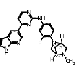 CN1C[C@@H]2C[C@H]1CN2c1ccc(Nc2nccc(-c3cnc4[nH]ccc4c3)n2)cc1F